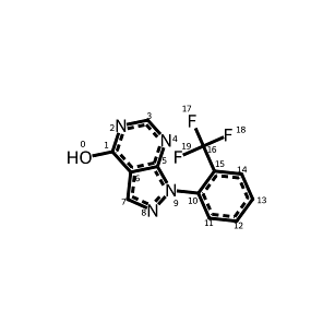 Oc1ncnc2c1cnn2-c1ccccc1C(F)(F)F